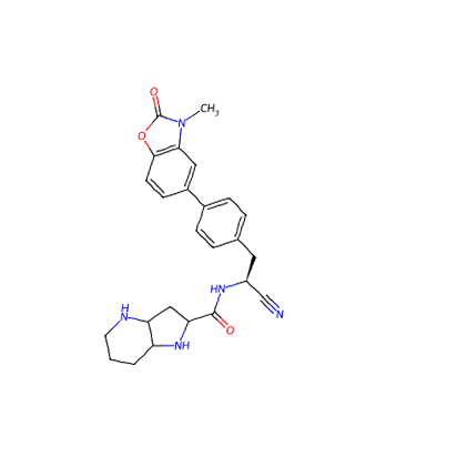 Cn1c(=O)oc2ccc(-c3ccc(C[C@@H](C#N)NC(=O)C4CC5NCCCC5N4)cc3)cc21